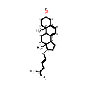 CC(C)C/C=C/C[C@H]1CCC2C3=CC=C4C[C@@H](O)CCC4(C)C3CCC21C